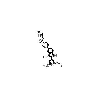 Cc1cc(-c2[nH]c3ccc(C4CCN(C(=O)CNCC(C)(C)C)CC4)cc3c2C(C)C)cc(C)n1